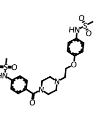 CS(=O)(=O)Nc1ccc(OCCN2CCN(C(=O)c3ccc(NS(C)(=O)=O)cc3)CC2)cc1